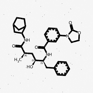 C[C@H](C[C@H](O)[C@H](Cc1ccccc1)NC(=O)c1cccc(N2CCOC2=O)c1)C(=O)NC1CC2CCC1C2